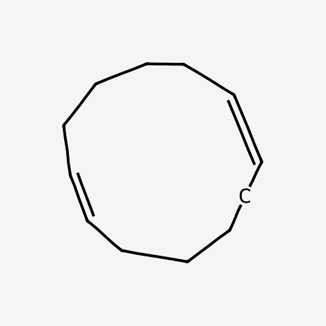 C1=CCCCCC=CCCCC1